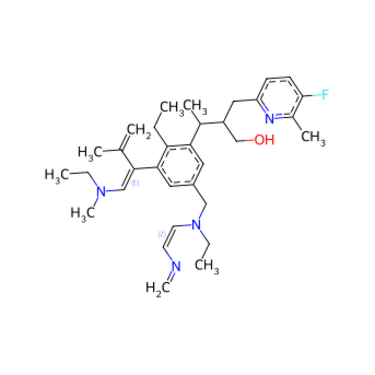 C=N/C=C\N(CC)Cc1cc(/C(=C/N(C)CC)C(=C)C)c(CC)c(C(C)C(CO)Cc2ccc(F)c(C)n2)c1